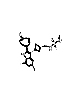 CNS(=O)(=O)NC[C@H]1C[C@H](c2c(-c3ccc(F)cc3)[nH]c3c(F)cc(F)cc32)C1